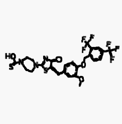 COc1cc(C=C2SC(N3CCN(C(O)=S)CC3)=NC2=O)ccc1OCc1ccc(C(F)(F)F)cc1C(F)(F)F